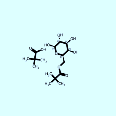 CC(C)(C)C(=O)O.CC(C)(C)C(=O)OC[C@H]1O[C@@H](O)[C@H](O)[C@@H](O)[C@H]1O